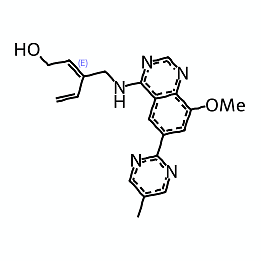 C=C/C(=C\CO)CNc1ncnc2c(OC)cc(-c3ncc(C)cn3)cc12